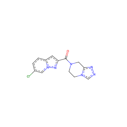 O=C(c1cc2ccc(Cl)cn2n1)N1CCn2cnnc2C1